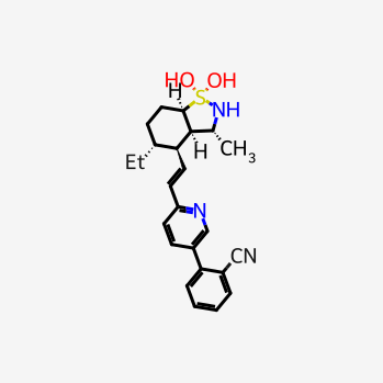 CC[C@@H]1CC[C@@H]2[C@H]([C@H]1C=Cc1ccc(-c3ccccc3C#N)cn1)[C@@H](C)NS2(O)O